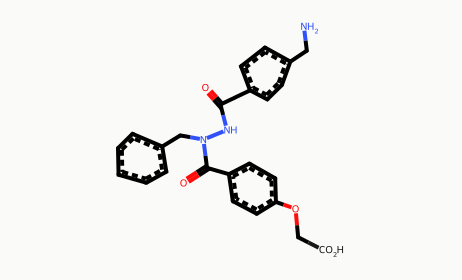 NCc1ccc(C(=O)NN(Cc2ccccc2)C(=O)c2ccc(OCC(=O)O)cc2)cc1